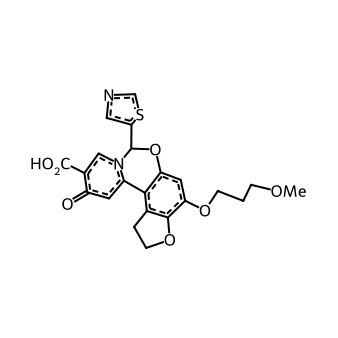 COCCCOc1cc2c(c3c1OCC3)-c1cc(=O)c(C(=O)O)cn1C(c1cncs1)O2